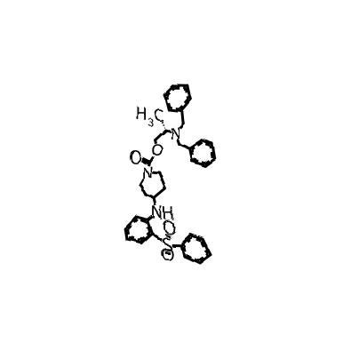 C[C@@H](COC(=O)N1CCC(Nc2ccccc2S(=O)(=O)c2ccccc2)CC1)N(Cc1ccccc1)Cc1ccccc1